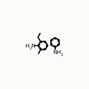 CCc1cccc(C)c1N.Nc1ccccc1